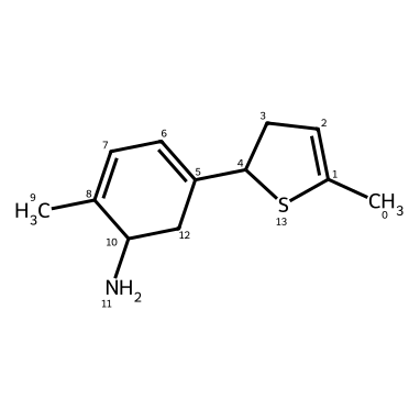 CC1=CCC(C2=CC=C(C)C(N)C2)S1